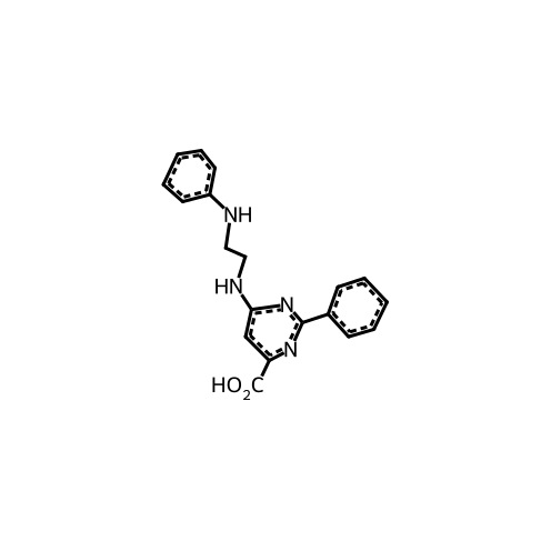 O=C(O)c1cc(NCCNc2ccccc2)nc(-c2ccccc2)n1